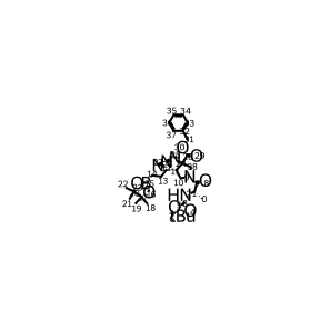 C[C@H](NC(=O)OC(C)(C)C)C(=O)N1C[C@H](CCCB2OC(C)(C)C(C)(C)O2)C(N=[N+]=[N-])(C(=O)OCc2ccccc2)C1